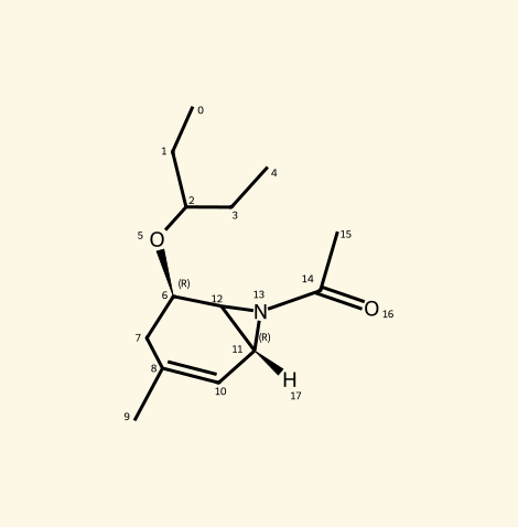 CCC(CC)O[C@@H]1CC(C)=C[C@@H]2C1N2C(C)=O